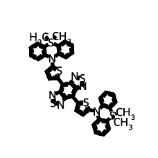 CS1(C)c2ccccc2N(c2ccc(-c3c4c(c(-c5ccc(N6c7ccccc7S(C)(C)c7ccccc76)s5)c5nsnc35)N=S=N4)s2)c2ccccc21